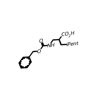 CCCC(C)CC(CNC(=O)OCc1ccccc1)C(=O)O